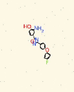 Nc1cc(-c2nc(-c3ccc(Oc4ccc(F)cc4)cc3)no2)ccc1O